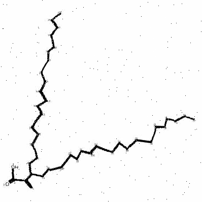 C=C(C(=O)O)C(CCCCCCCCCCCCCCCCCC)CCCCCCCCCCCCCCCCCCC